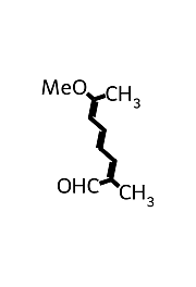 CO/C(C)=C/C=C/C=C(/C)C=O